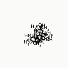 CC1(C)C(=O)C(O)=C[C@@H]2C1=CC[C@@H]1[C@@]2(C)C(=O)C[C@]2(C)[C@@H]([C@@](C)(O)C(=O)CC(O)C(C)(C)O)[C@H](O)C[C@@]12C